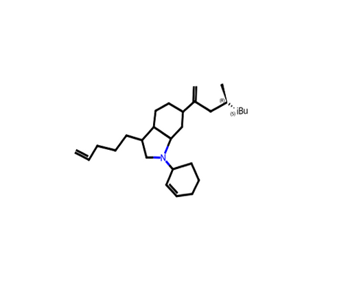 C=CCCCC1CN(C2C=CCCC2)C2CC(C(=C)C[C@@H](C)[C@@H](C)CC)CCC12